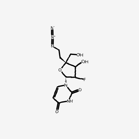 [N-]=[N+]=NCC[C@]1(CO)O[C@@H](n2ccc(=O)[nH]c2=O)C(F)C1O